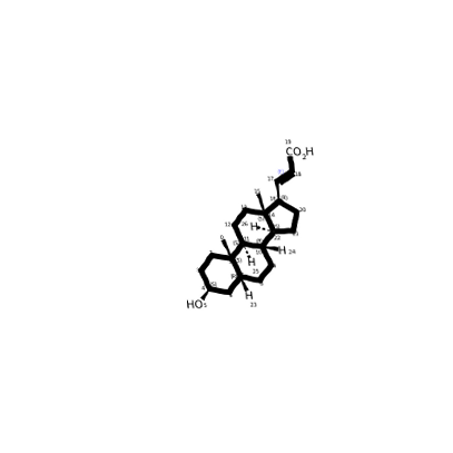 C[C@]12CC[C@H](O)C[C@H]1CC[C@@H]1[C@@H]2CC[C@]2(C)[C@@H](/C=C/C(=O)O)CC[C@@H]12